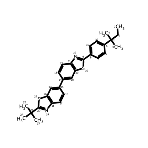 CCC(C)(C)c1ccc(-c2nc3ccc(-c4ccc5nc(C(C)(C)C)sc5c4)cc3s2)cc1